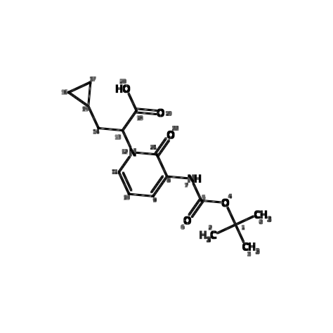 CC(C)(C)OC(=O)Nc1cccn(C(CC2CC2)C(=O)O)c1=O